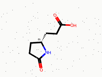 O=C(O)CC[C@H]1CCC(=O)N1